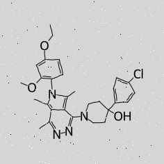 CCOc1ccc(-n2c(C)c3c(C)nnc(N4CCC(O)(c5ccc(Cl)cc5)CC4)c3c2C)c(OC)c1